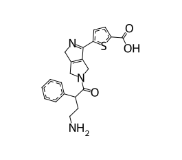 NCCC(C(=O)N1CC2=C(C1)C(c1ccc(C(=O)O)s1)=NC2)c1ccccc1